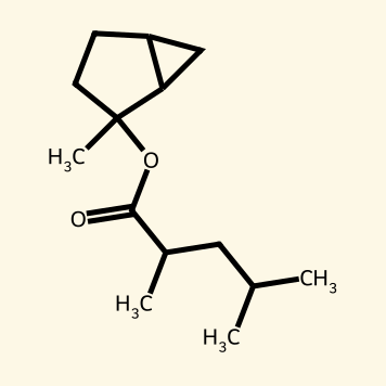 CC(C)CC(C)C(=O)OC1(C)CCC2CC21